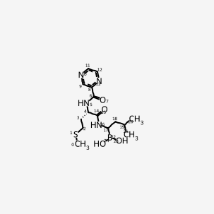 CSCC[C@H](NC(=O)c1cnccn1)C(=O)NC(CC(C)C)B(O)O